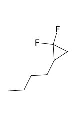 CCCCC1CC1(F)F